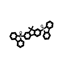 CC1(C)c2cc(P3(=O)c4ccccc4-c4ccccc43)ccc2-c2ccc(P3(=O)c4ccccc4-c4ccccc43)cc21